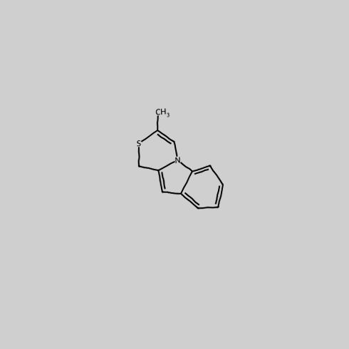 CC1=Cn2c(cc3ccccc32)CS1